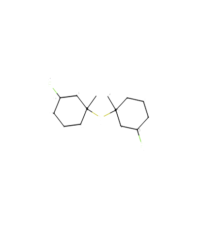 CC1(SC2(C)CCCC(F)C2)CCCC(F)C1